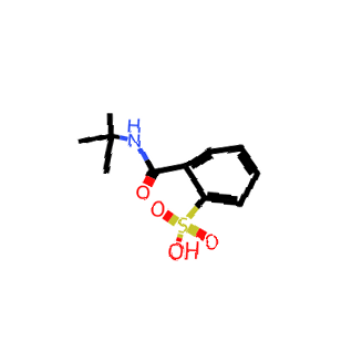 CC(C)(C)NC(=O)c1ccccc1S(=O)(=O)O